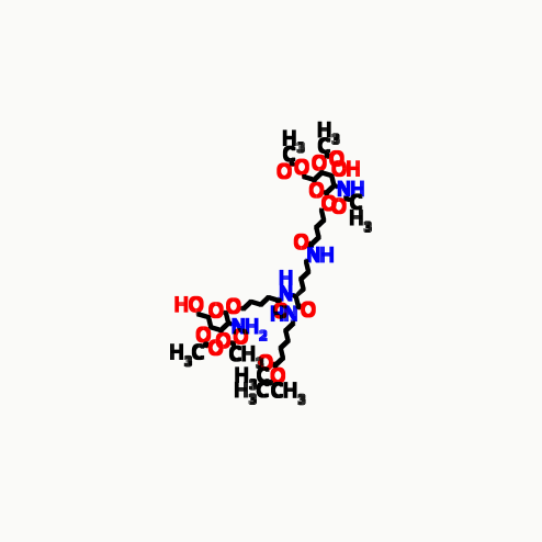 CC(=O)NC1C(OCCCCC(=O)NCCCC[C@H](NC(=O)CCCCOC2OC(CO)C(OC(C)=O)C(OC(C)=O)C2N)C(=O)NCCCCCC(=O)OC(C)(C)C)OC(COC(C)=O)C(OC(C)=O)C1O